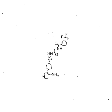 Nc1ccncc1C1CCC(N2CC(NC(=O)CNC(=O)c3cccc(C(F)(F)F)c3)C2)CC1